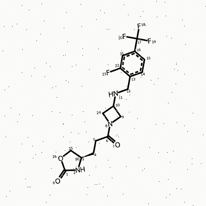 O=C1N[C@H](CCC(=O)N2CC(NCc3ccc(C(F)(F)F)cc3F)C2)CO1